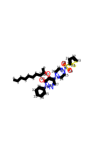 CCCCCCCCC(C)Oc1c(N2CCN(S(=O)(=O)c3cccs3)CC2)cnn(-c2ccccc2)c1=O